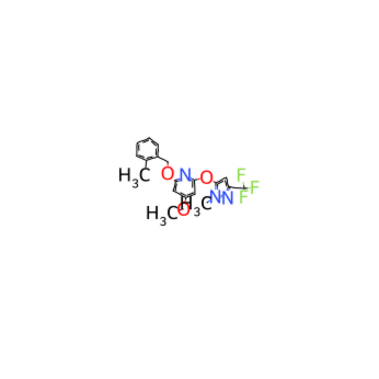 COc1cc(OCc2ccccc2C)nc(Oc2cc(C(F)(F)F)nn2C)c1